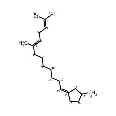 CCC(=CCC=C(C)CCCCCCC=C1CCC(C)C1)CC